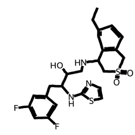 CCc1ccc2c(c1)C(NCC(O)C(Cc1cc(F)cc(F)c1)Nc1nccs1)CS(=O)(=O)C2